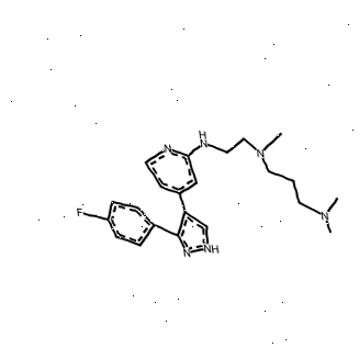 CN(C)CCCN(C)CCNc1cc(-c2c[nH]nc2-c2ccc(F)cc2)ccn1